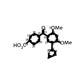 COc1cc(OC)c(-c2cccs2)cc1C(=O)c1ccc(C(=O)O)cc1